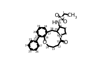 CCS(=O)(=O)NC1CCN2C(=O)CCCOc3c(cccc3-c3ccccc3)CC12